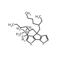 CCCCC(CC)CC1(CC(CC)CCCC)c2ccsc2-c2sc[c]([Sn]([CH3])([CH3])[CH3])c21